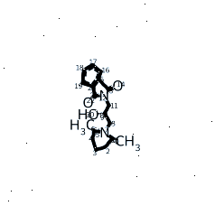 C[C@@H]1CCC[C@H](C)N1C[C@H](O)CN1C(=O)c2ccccc2C1=O